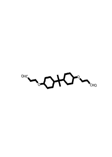 CC(C)(C1CCC(OCCC=O)CC1)C1CCC(OCCC=O)CC1